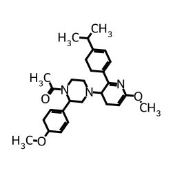 COC1=CCC(N2CCN(C(C)=O)C(C3=CCC(OC)C=C3)C2)C(C2=CC=C(C(C)C)CC2)=N1